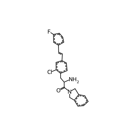 NC(Cc1ccc(/C=C/c2cccc(F)c2)cc1Cl)C(=O)N1Cc2ccccc2C1